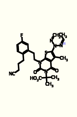 C=NN(/N=C\C)c1sc2c(c1C)c(=O)n(C(C)(C)C(=O)O)c(=O)n2CCc1cc(F)ccc1CCCC#N